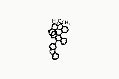 CC1(C)c2cccc(-c3c4ccccc4c(-c4ccc5sc6ccccc6c5c4)c4ccccc34)c2-c2c1ccc1ccccc21